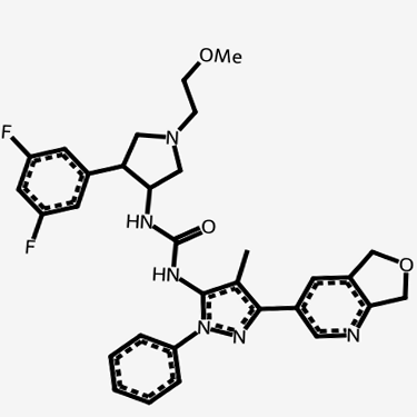 COCCN1CC(NC(=O)Nc2c(C)c(-c3cnc4c(c3)COC4)nn2-c2ccccc2)C(c2cc(F)cc(F)c2)C1